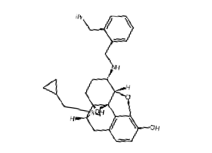 CC(C)Cc1ccccc1CN[C@@H]1CC[C@@]2(O)[C@H]3Cc4ccc(O)c5c4[C@@]2(CCN3CC2CC2)[C@H]1O5